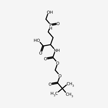 CC(C)(C)C(=O)OCOC(=O)NC(CC[PH](=O)CO)C(=O)O